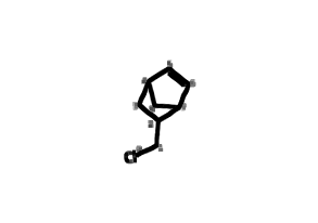 ClCC1CC2C=CC1C2